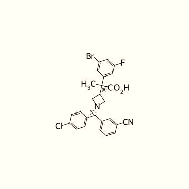 C[C@](C(=O)O)(c1cc(F)cc(Br)c1)C1CN([C@@H](c2ccc(Cl)cc2)c2cccc(C#N)c2)C1